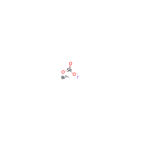 O=[Se]([O-])[O-].[Bi+3].[I-]